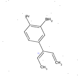 Bc1cc(/C(C=C)=C/C)ccc1C(C)C